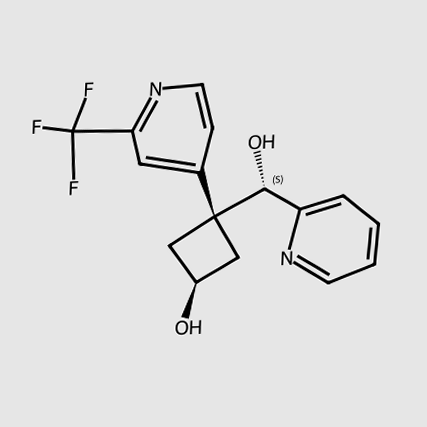 O[C@H](c1ccccn1)[C@]1(c2ccnc(C(F)(F)F)c2)C[C@@H](O)C1